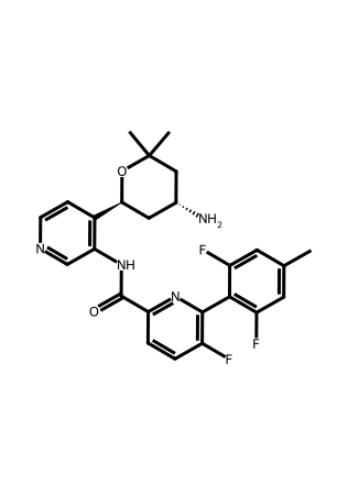 Cc1cc(F)c(-c2nc(C(=O)Nc3cnccc3[C@@H]3C[C@@H](N)CC(C)(C)O3)ccc2F)c(F)c1